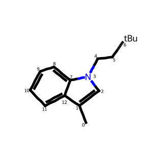 Cc1cn(CCC(C)(C)C)c2ccccc12